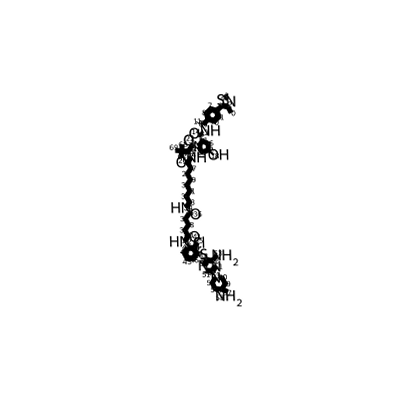 Cc1ncsc1-c1ccc([C@@H](C)NC(=O)[C@@H]2C[C@@H](O)CN2C(=O)[C@@H](NC(=O)CCCCCCCNC(=O)CCCC(=O)Nc2cccc(Sc3ncc(N4CCC(C)(N)CC4)nc3N)c2Cl)C(C)(C)C)cc1